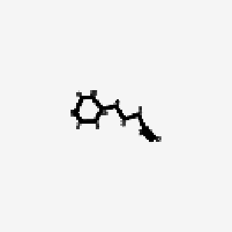 C#CCCCC1CCCCC1